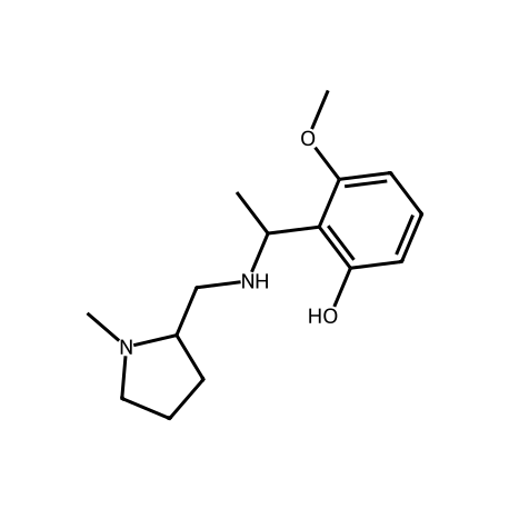 COc1cccc(O)c1C(C)NCC1CCCN1C